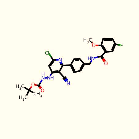 COc1ccc(F)cc1C(=O)NCc1ccc(-c2nc(Cl)cc(NNC(=O)OC(C)(C)C)c2C#N)cc1